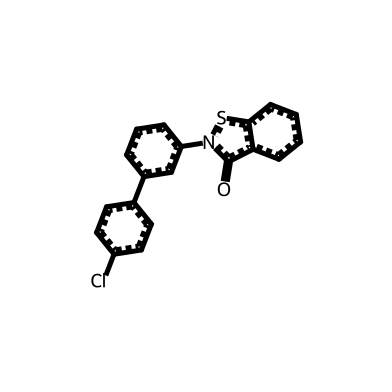 O=c1c2ccccc2sn1-c1cccc(-c2ccc(Cl)cc2)c1